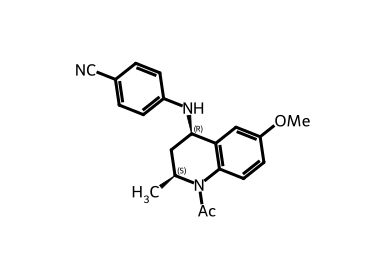 COc1ccc2c(c1)[C@H](Nc1ccc(C#N)cc1)C[C@H](C)N2C(C)=O